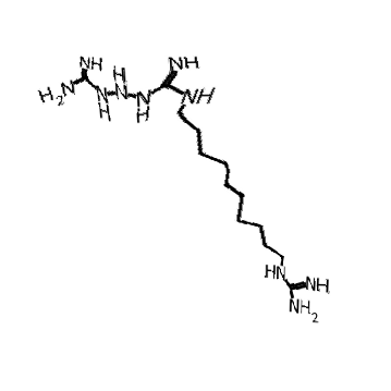 N=C(N)NCCCCCCCCCCNC(=N)NNNC(=N)N